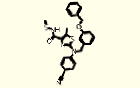 CSNC(=O)c1nc(N(Cc2cccc(OCc3ccccc3)c2)c2ccc(C#N)cc2)sc1C